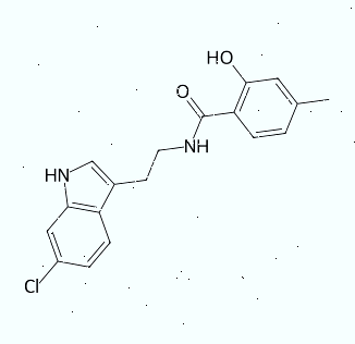 Cc1ccc(C(=O)NCCc2c[nH]c3cc(Cl)ccc23)c(O)c1